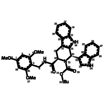 COc1cc(OC)c(CNC(=O)[C@H]2Cc3c([nH]c4ccccc34)[C@H](c3c[nH]c4ccccc34)N2C(=O)OC(C)(C)C)c(OC)c1